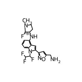 CN1CC[C@@H](Nc2cccc3c2cc(-c2cc(CN)on2)n3C(F)C(F)F)[C@@H](F)C1